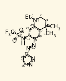 CCN1CCC(C)(C)c2cc(N=Nc3nncs3)c(NS(=O)(=O)C(F)(F)F)cc21